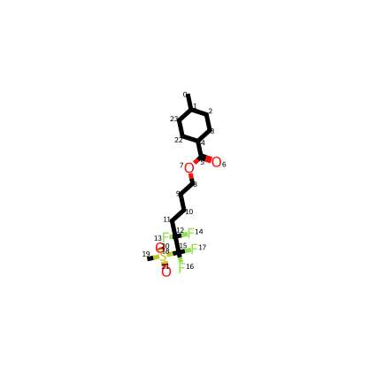 CC1CCC(C(=O)OCCCCC(F)(F)C(F)(F)S(C)(=O)=O)CC1